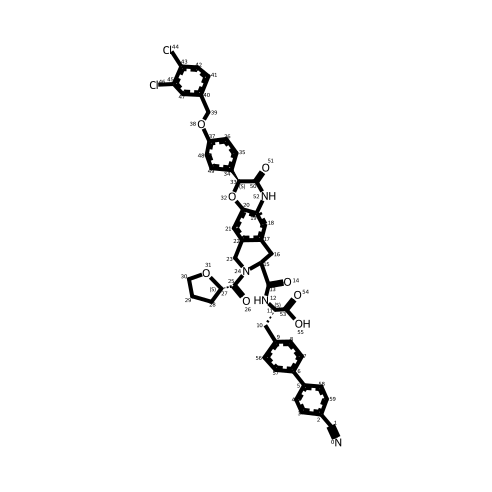 N#Cc1ccc(-c2ccc(C[C@H](NC(=O)C3Cc4cc5c(cc4CN3C(=O)[C@@H]3CCCO3)O[C@@H](c3ccc(OCc4ccc(Cl)c(Cl)c4)cc3)C(=O)N5)C(=O)O)cc2)cc1